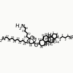 CC(C)CCCC[C@H]1CC[C@H]2[C@@H]3CC=C4C[C@@H](OC(=O)CN(CCCCCCCCN)C(=O)CCCCN)CC[C@]4(C)[C@H]3CC[C@]12C